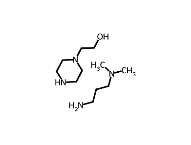 CN(C)CCCN.OCCN1CCNCC1